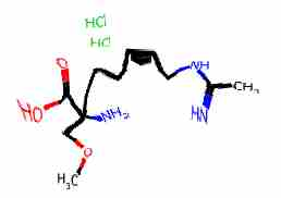 COC[C@@](N)(CC/C=C\CNC(C)=N)C(=O)O.Cl.Cl